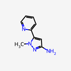 Cn1nc(N)cc1-c1ccccn1